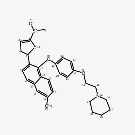 C[S+]([O-])C1=CCC(c2ccc3cc(O)ccc3c2Oc2ccc(OCCN3CCCCC3)cc2)S1